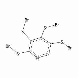 BrSc1cnc(SBr)c(SBr)c1SBr